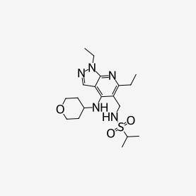 CCc1nc2c(cnn2CC)c(NC2CCOCC2)c1CNS(=O)(=O)C(C)C